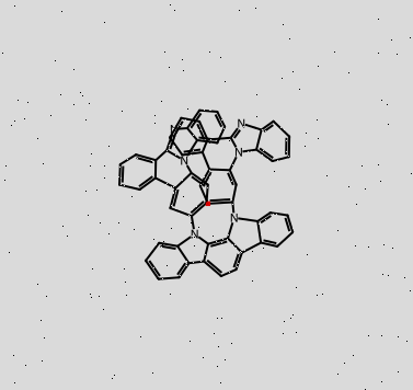 c1ccc2c(c1)nc1c3ccccc3c3cc(-n4c5ccccc5c5ccc6c7ccccc7n(-c7ccc8c9ccccc9c9nc%10ccccc%10n9c8c7)c6c54)ccc3n21